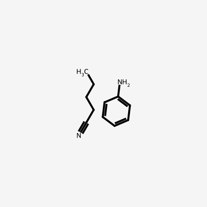 CCCCC#N.Nc1ccccc1